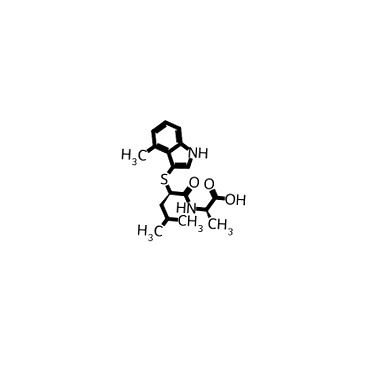 Cc1cccc2[nH]cc(S[C@H](CC(C)C)C(=O)N[C@H](C)C(=O)O)c12